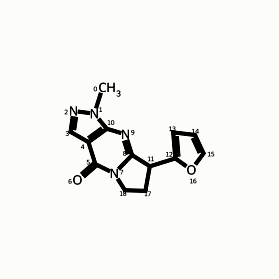 Cn1ncc2c(=O)n3c(nc21)C(c1ccco1)CC3